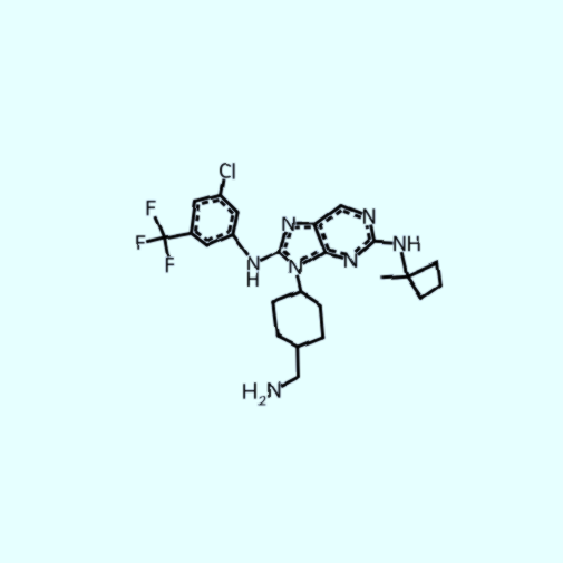 CC1(Nc2ncc3nc(Nc4cc(Cl)cc(C(F)(F)F)c4)n(C4CCC(CN)CC4)c3n2)CCC1